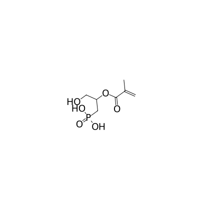 C=C(C)C(=O)OC(CO)CP(=O)(O)O